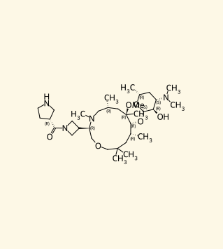 CO[C@]1(C)C[C@@H](C)CN(C)[C@H](C2CN(C(=O)[C@@H]3CCNC3)C2)COCC(C)(C)C[C@@H](C)[C@H]1O[C@@H]1O[C@H](C)C[C@H](N(C)C)[C@H]1O